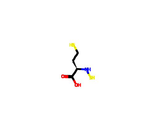 O=C(O)[C@H](CCS)NS